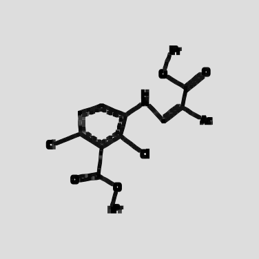 CCCOC(=O)c1c(Cl)ccc(NC=C(C(C)=O)C(=O)OC(C)C)c1Cl